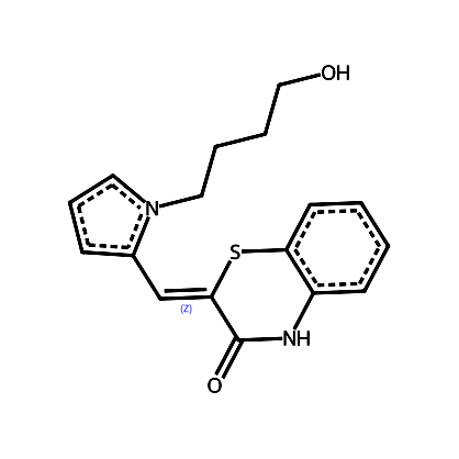 O=C1Nc2ccccc2S/C1=C\c1cccn1CCCCO